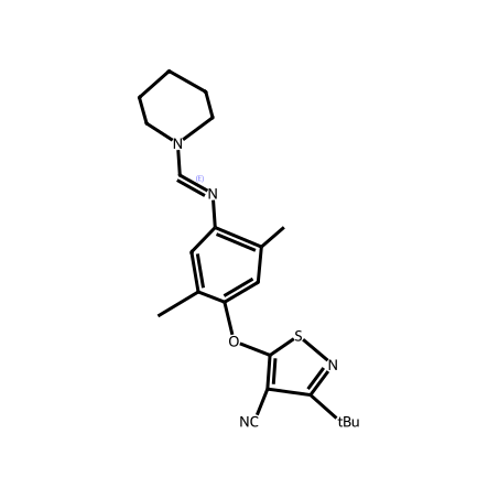 Cc1cc(Oc2snc(C(C)(C)C)c2C#N)c(C)cc1/N=C/N1CCCCC1